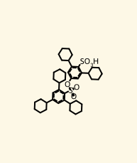 O=S(=O)(O)c1c(C2CCCCC2)cc(OS(=O)(=O)c2c(C3CCCCC3)cc(C3CCCCC3)cc2C2CCCCC2)cc1C1CCCCC1